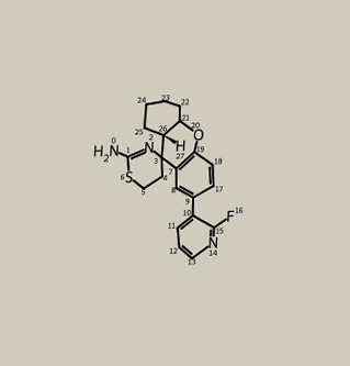 NC1=NC2(CCS1)c1cc(-c3cccnc3F)ccc1OC1CCCC[C@H]12